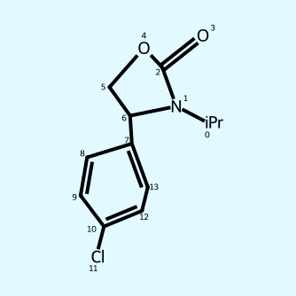 CC(C)N1C(=O)OCC1c1ccc(Cl)cc1